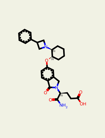 NC(=O)[C@H](CCC(=O)O)N1Cc2cc(O[C@H]3CCCC[C@@H]3N3CC(c4ccccc4)C3)ccc2C1=O